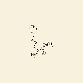 C=C(CSCCCC)C(=O)OC